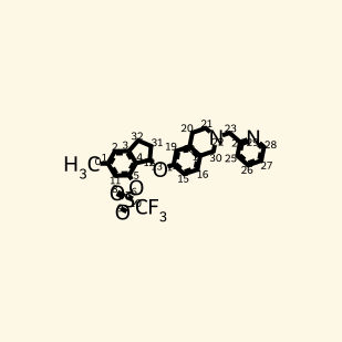 Cc1cc2c(c(OS(=O)(=O)C(F)(F)F)c1)C(Oc1ccc3c(c1)CCN(Cc1ccccn1)C3)CC2